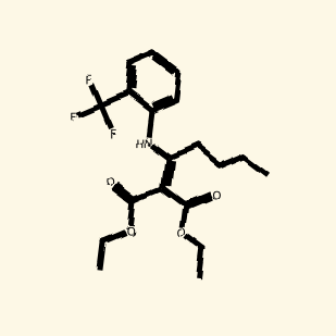 CCCCC(Nc1ccccc1C(F)(F)F)=C(C(=O)OCC)C(=O)OCC